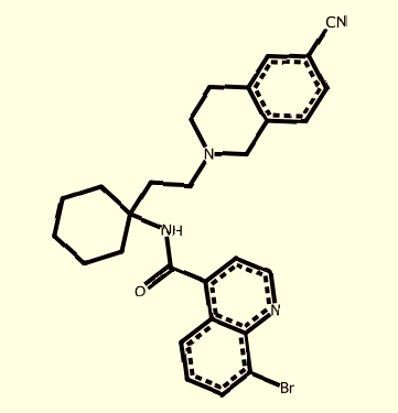 N#Cc1ccc2c(c1)CCN(CCC1(NC(=O)c3ccnc4c(Br)cccc34)CCCCC1)C2